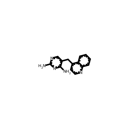 Nc1ncc(Cc2ccnc3ccccc23)c(N)n1